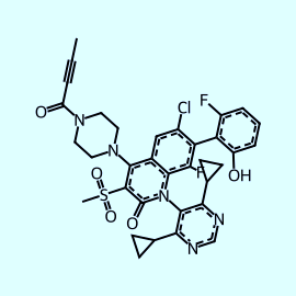 CC#CC(=O)N1CCN(c2c(S(C)(=O)=O)c(=O)n(-c3c(C4CC4)ncnc3C3CC3)c3c(F)c(-c4c(O)cccc4F)c(Cl)cc23)CC1